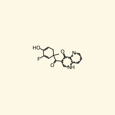 CC1(C(=O)c2c[nH]c3cccnc3c2=O)C=C(F)C(O)=CC1